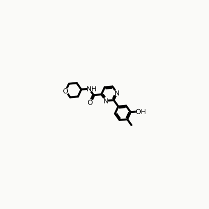 Cc1ccc(-c2nccc(C(=O)NC3CCOCC3)n2)cc1O